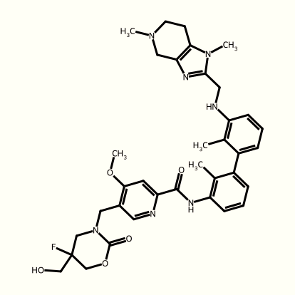 COc1cc(C(=O)Nc2cccc(-c3cccc(NCc4nc5c(n4C)CCN(C)C5)c3C)c2C)ncc1CN1CC(F)(CO)COC1=O